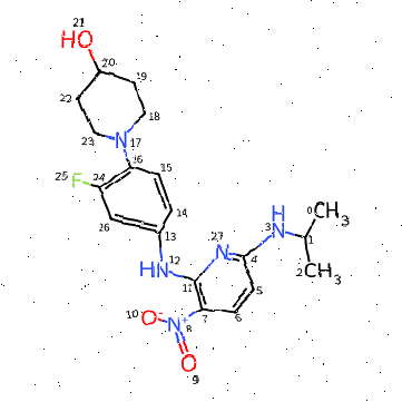 CC(C)Nc1ccc([N+](=O)[O-])c(Nc2ccc(N3CCC(O)CC3)c(F)c2)n1